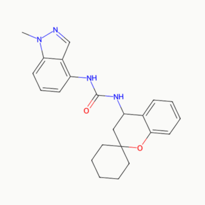 Cn1ncc2c(NC(=O)NC3CC4(CCCCC4)Oc4ccccc43)cccc21